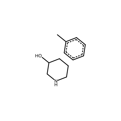 Cc1ccccc1.OC1CCCNC1